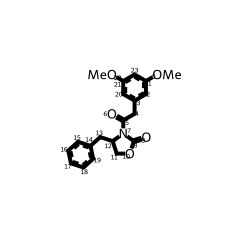 COc1cc(CC(=O)N2C(=O)OCC2Cc2ccccc2)cc(OC)c1